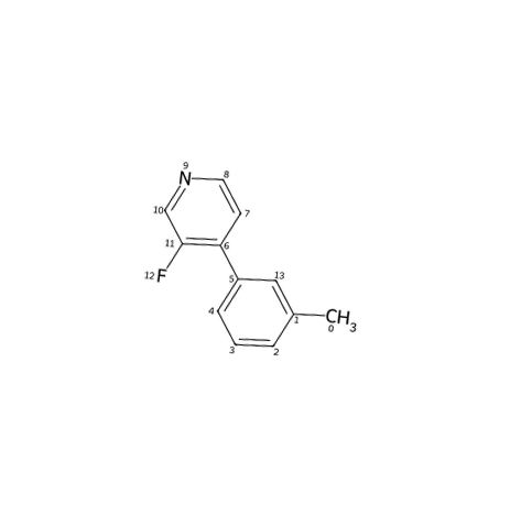 Cc1cccc(-c2ccncc2F)c1